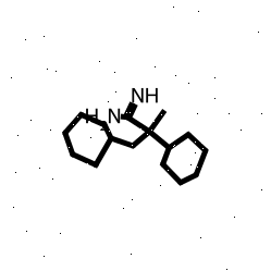 CC(CC1CCCCC1)(C(=N)N)C1CCCCC1